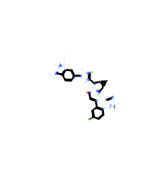 Nc1n[nH]c2cc(-c3nc(F)c(C4C5CC5c5nc(-c6cc(Cl)ccc6-n6cc(Cl)nn6)cc(=O)n54)[nH]3)ccc12